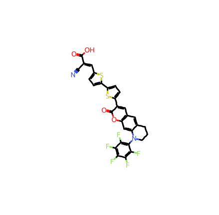 N#C/C(=C\c1ccc(-c2ccc(-c3cc4cc5c(cc4oc3=O)N(c3c(F)c(F)c(F)c(F)c3F)CCC5)s2)s1)C(=O)O